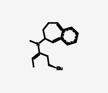 C/C=C(\CC[C@H](C)CC)N(C)C1C=c2ccccc2=CCC1